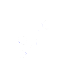 Cc1ccc(NC2CC3CC2N(C(=O)c2cccnc2-c2ncco2)C3)nc1